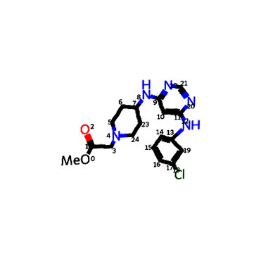 COC(=O)CN1CCC(Nc2cc(Nc3cccc(Cl)c3)ncn2)CC1